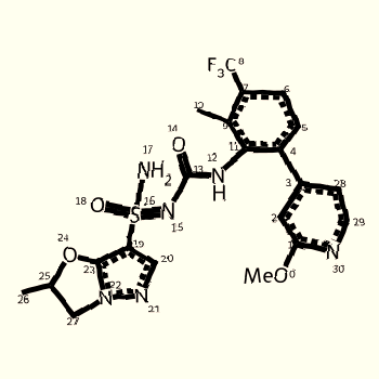 COc1cc(-c2ccc(C(F)(F)F)c(C)c2NC(=O)N=S(N)(=O)c2cnn3c2OC(C)C3)ccn1